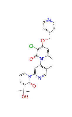 Cc1cnc(-n2cccc(C(C)(C)O)c2=O)cc1-n1c(C)cc(OCc2ccncc2)c(Cl)c1=O